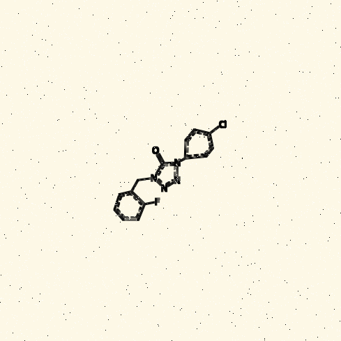 O=c1n(Cc2ccccc2F)nnn1-c1ccc(Cl)cc1